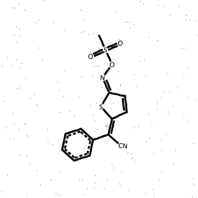 CS(=O)(=O)ON=C1C=C/C(=C(\C#N)c2ccccc2)S1